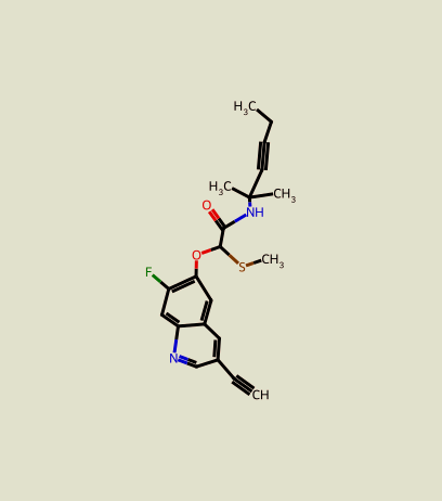 C#Cc1cnc2cc(F)c(OC(SC)C(=O)NC(C)(C)C#CCC)cc2c1